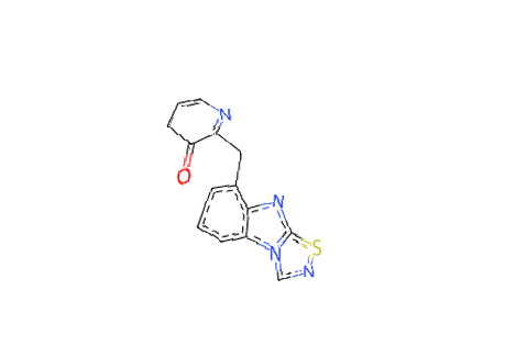 O=C1CC=CN=C1Cc1cccc2c1nc1sncn12